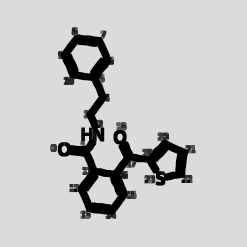 O=C(NCCc1ccccc1)c1ccccc1C(=O)c1cccs1